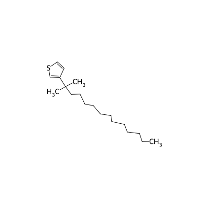 CCCCCCCCCCCCC(C)(C)c1ccsc1